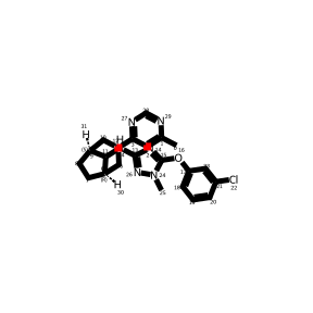 Cc1cc(N2C[C@H]3CC[C@@H](C2)C3Nc2nc(Oc3cccc(Cl)c3)n(C)n2)ncn1